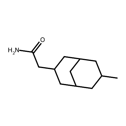 CC1CC2CC(CC(N)=O)CC(C1)C2